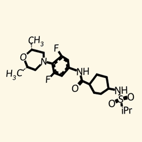 CC(C)S(=O)(=O)NC1CCC(C(=O)Nc2cc(F)c(N3C[C@@H](C)O[C@@H](C)C3)c(F)c2)CC1